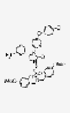 COc1ccc(CN(Cc2ccc(OC)cc2)S(=O)(=O)CCN2C[C@H](c3cccc(C(F)(F)F)c3)N(c3ccc(Oc4ccc(Cl)cc4)cc3)C2=O)cc1